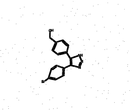 OCc1ccc(-c2[nH]nnc2-c2ccc(Br)cc2)cc1